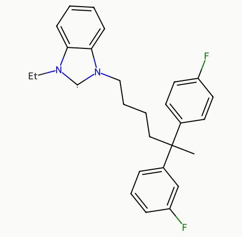 CCN1[CH]N(CCCCC(C)(c2ccc(F)cc2)c2cccc(F)c2)c2ccccc21